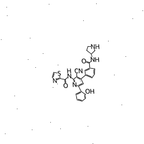 N#Cc1c(-c2cccc(C(=O)NC3CCNC3)c2)cc(-c2ccccc2O)nc1NC(=O)c1nccs1